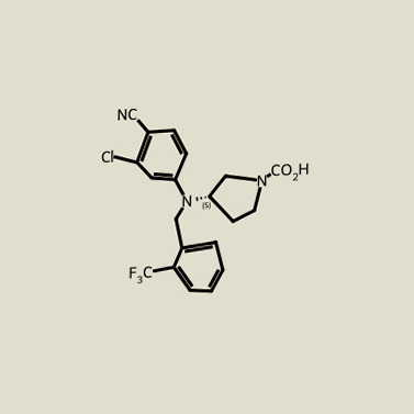 N#Cc1ccc(N(Cc2ccccc2C(F)(F)F)[C@H]2CCN(C(=O)O)C2)cc1Cl